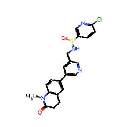 CN1C(=O)CCc2cc(-c3cncc(CN[S+]([O-])c4ccc(Cl)nc4)c3)ccc21